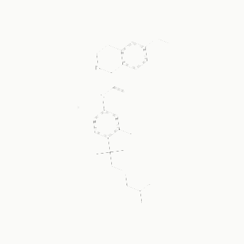 COc1ccc2c(c1)CCN[C@H]2C(=O)Nc1ccc(C(C)(C)COCC(F)F)c(F)c1.Cl